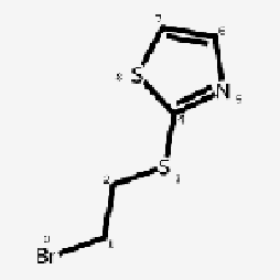 BrCCSc1nccs1